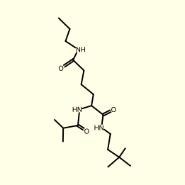 CCCNC(=O)CCCC(NC(=O)C(C)C)C(=O)NCCC(C)(C)C